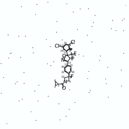 O=C(C1CC1)N1CC(F)(c2ccc(C3=NOC(c4cc(Cl)cc(Cl)c4)(C(F)(F)F)C3)cc2)C1